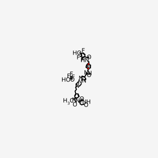 Cn1c(=O)n([C@@H]2CCC(=O)NC2=O)c2ccc(CCCN3CCN(c4ncc(-c5nc(C67CCC(CNC(=O)c8cc(F)c(O)c(F)c8F)(CC6)CC7)no5)cn4)CC3)cc21.O=C(O)C(F)(F)F